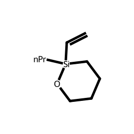 C=C[Si]1(CCC)CCCCO1